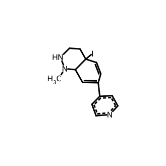 CN1NCCC2(I)C=CC(c3ccncc3)=CC12